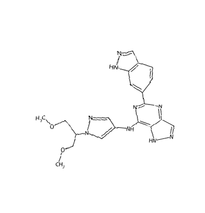 COCC(COC)n1cc(Nc2nc(-c3ccc4cn[nH]c4c3)nc3cn[nH]c23)cn1